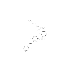 CCN(CC)CCCNS(=O)(=O)c1cccc(Nc2cccc(C=Cc3ccncc3)c2)c1